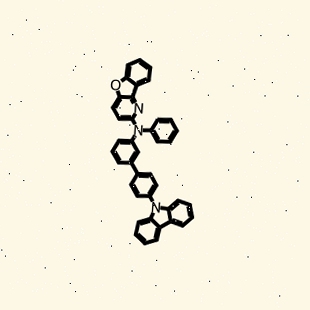 c1ccc(N(c2cccc(-c3ccc(-n4c5ccccc5c5ccccc54)cc3)c2)c2ccc3oc4ccccc4c3n2)cc1